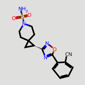 N#Cc1ccccc1-c1nc([C@@H]2CC23CCN(S(N)(=O)=O)CC3)no1